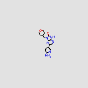 Nc1ccc(-c2cnc3[nH]c(=O)n(CC4CCOCC4)c3n2)cn1